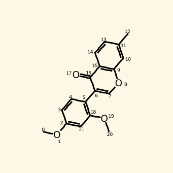 COc1ccc(-c2coc3cc(C)ccc3c2=O)c(OC)c1